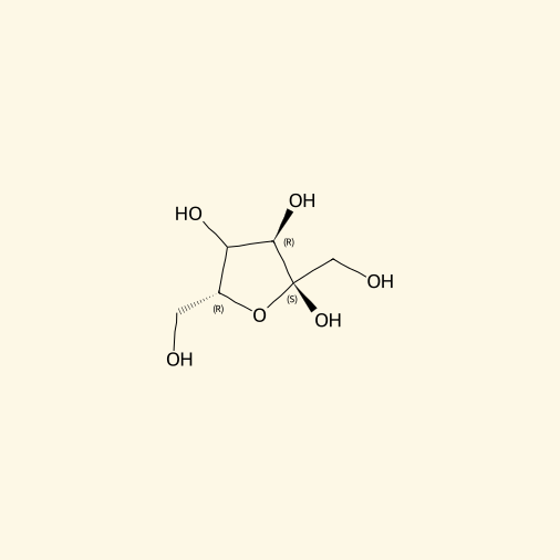 OC[C@H]1O[C@@](O)(CO)[C@H](O)C1O